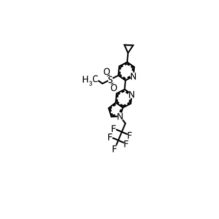 CCS(=O)(=O)c1cc(C2CC2)cnc1-c1cc2ccn(CC(F)(F)C(F)(F)F)c2cn1